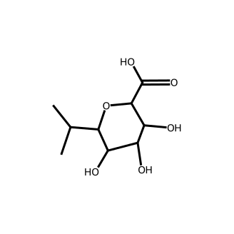 CC(C)C1OC(C(=O)O)C(O)C(O)C1O